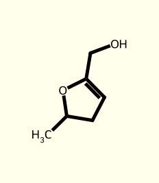 CC1CC=C(CO)O1